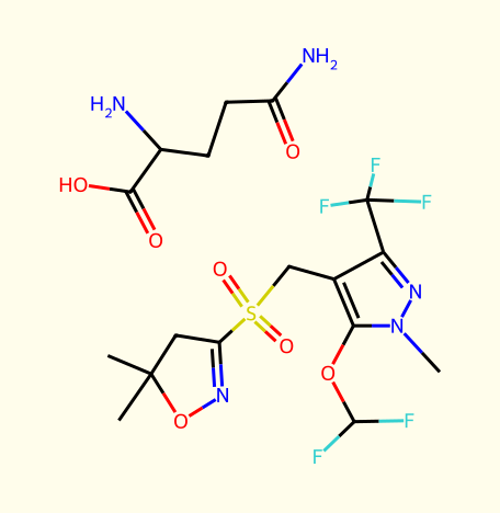 Cn1nc(C(F)(F)F)c(CS(=O)(=O)C2=NOC(C)(C)C2)c1OC(F)F.NC(=O)CCC(N)C(=O)O